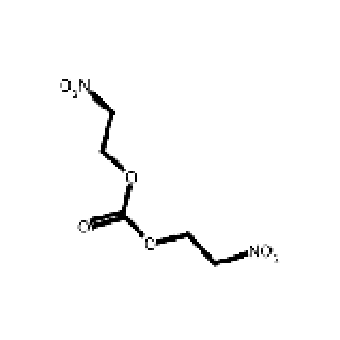 O=C(OCC[N+](=O)[O-])OCC[N+](=O)[O-]